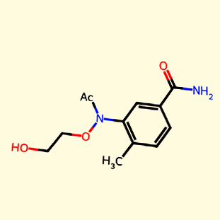 CC(=O)N(OCCO)c1cc(C(N)=O)ccc1C